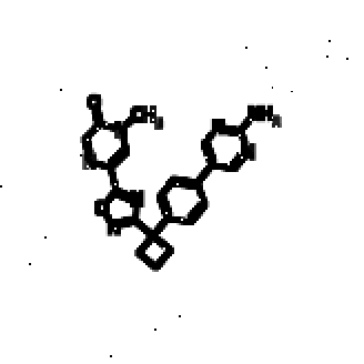 Cn1cc(-c2nc(C3(c4ccc(-c5cnc(N)nc5)cc4)CCC3)no2)ncc1=O